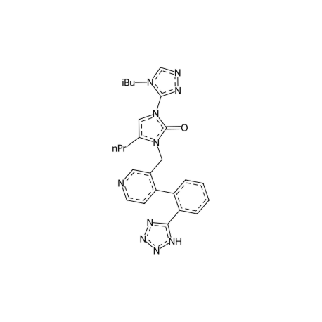 CCCc1cn(-c2nncn2C(C)CC)c(=O)n1Cc1cnccc1-c1ccccc1-c1nnn[nH]1